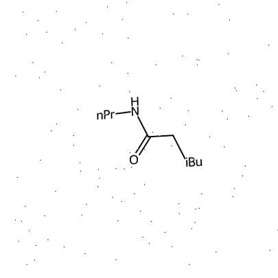 CCCNC(=O)CC(C)CC